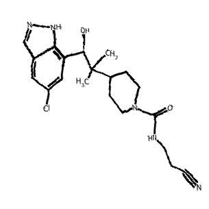 CC(C)(C1CCN(C(=O)NCCC#N)CC1)[C@H](O)c1cc(Cl)cc2cn[nH]c12